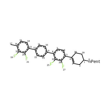 CCCCCC1CC=C(c2ccc(-c3ccc(-c4ccc(C)c(F)c4F)cc3)c(F)c2F)CC1